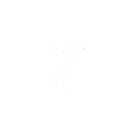 c1ccc(-n2c3ccccc3c3cc(-c4ccc5c(c4)c4ccc6c7ccccc7sc6c4n5-c4ccc5ccccc5c4)ccc32)cc1